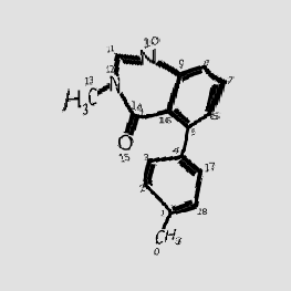 Cc1ccc(-c2cccc3ncn(C)c(=O)c23)cc1